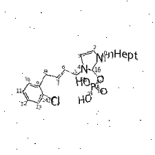 CCCCCCCN1C=CN(CC=CCc2ccccc2Cl)C1OP(=O)(O)O